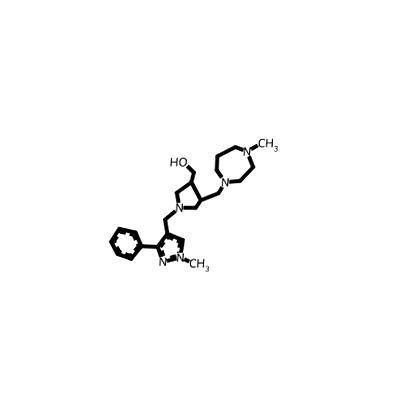 CN1CCCN(CC2CN(Cc3cn(C)nc3-c3ccccc3)CC2CO)CC1